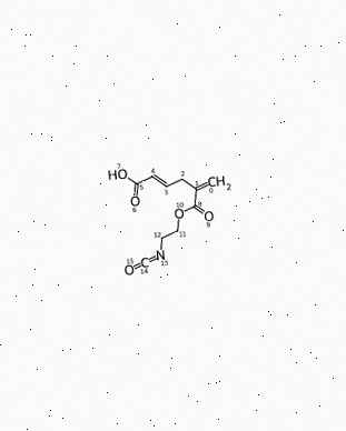 C=C(CC=CC(=O)O)C(=O)OCCN=C=O